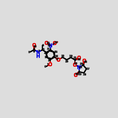 COc1cc(C(C)NC(C)=O)c([N+](=O)[O-])cc1OCCCC(=O)ON1C(=O)CCC1=O